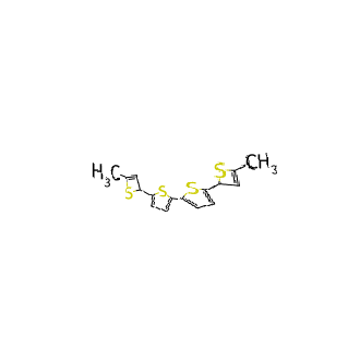 CC1=CC(c2ccc(-c3ccc(C4C=C(C)S4)s3)s2)S1